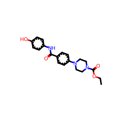 CCOC(=O)N1CCN(c2ccc(C(=O)Nc3ccc(O)cc3)cc2)CC1